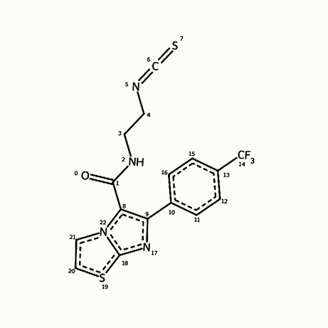 O=C(NCCN=C=S)c1c(-c2ccc(C(F)(F)F)cc2)nc2sccn12